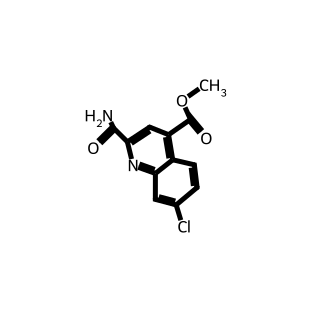 COC(=O)c1cc(C(N)=O)nc2cc(Cl)ccc12